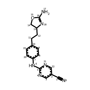 N#Cc1cnc(Nc2ccc(CCC3COC(N)=N3)cc2)nc1